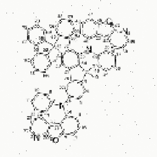 CC1(C)c2ccc(N(c3ccccc3)c3cccc4oc5ncccc5c34)cc2-c2cc3c(c(N(c4ccccc4)c4cccc5oc6ncccc6c45)c21)-c1ccccc1C3(c1ccccc1)c1ccccc1